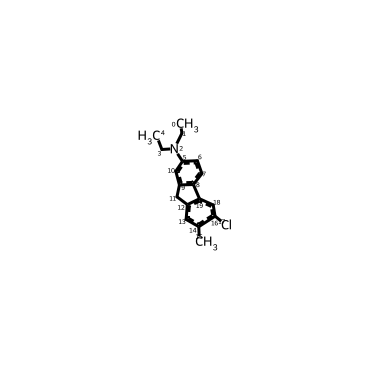 CCN(CC)c1ccc2c(c1)Cc1cc(C)c(Cl)cc1-2